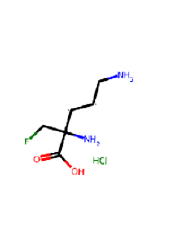 Cl.NC[CH][CH]C(N)(CF)C(=O)O